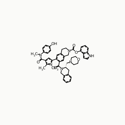 Cc1c(C(=O)N(C)c2ccc(O)cc2)cc(-c2cc3c(cc2C(=O)N2Cc4ccccc4C[C@H]2CN2CCOCC2)CN(C(=O)Oc2cccc4[nH]ccc24)CC3)n1C